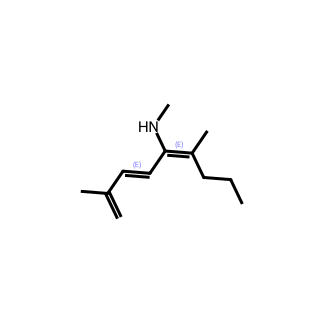 C=C(C)/C=C/C(NC)=C(/C)CCC